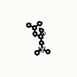 c1ccc(-c2cc(-c3ccccc3)cc(-c3cccc(-c4cc(-c5ccc(-c6nc(-c7ccccc7)nc(-c7ccccc7)n6)cc5)cc5oc6ccccc6c45)c3)c2)cc1